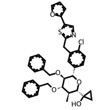 C[C@H]1[C@H](OCc2ccccc2)[C@@H](OCc2ccccc2)[C@H](c2ccc(Cl)c(Cc3ncc(-c4ccco4)s3)c2)O[C@@H]1C1(O)CC1